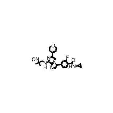 CC(C)(CNc1nc(C2=CCOCC2)cn2c(-c3ccc(C(=O)NC4CC4)c(F)c3)cnc12)N=O